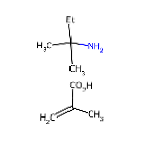 C=C(C)C(=O)O.CCC(C)(C)N